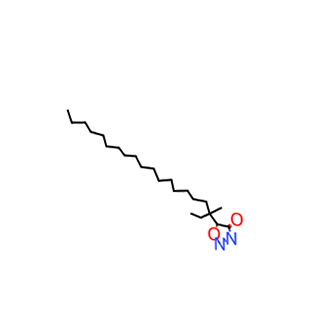 CCCCCCCCCCCCCCCCCC(C)(CC)C1ON=NC1=O